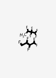 CC(F)C(F)(F)C(F)F.FCC(F)C(F)C(F)F